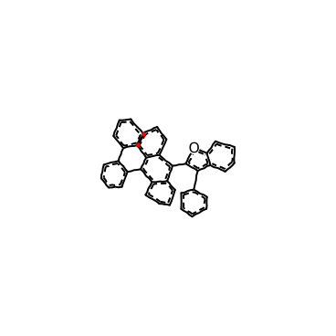 c1ccc(-c2ccccc2-c2c3ccccc3c(-c3oc4ccccc4c3-c3ccccc3)c3ccccc23)cc1